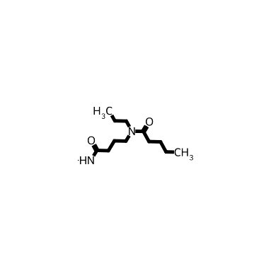 CCCCC(=O)N(CCC)CCCC([NH])=O